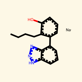 CCCCc1c(O)cccc1-c1cccc2[nH]nnc12.[Na]